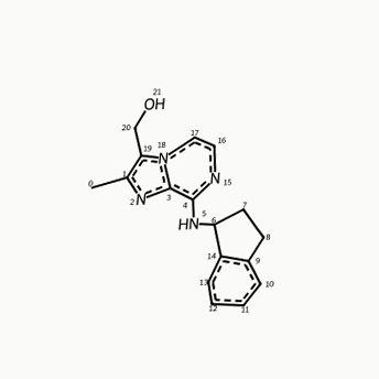 Cc1nc2c(NC3CCc4ccccc43)nccn2c1CO